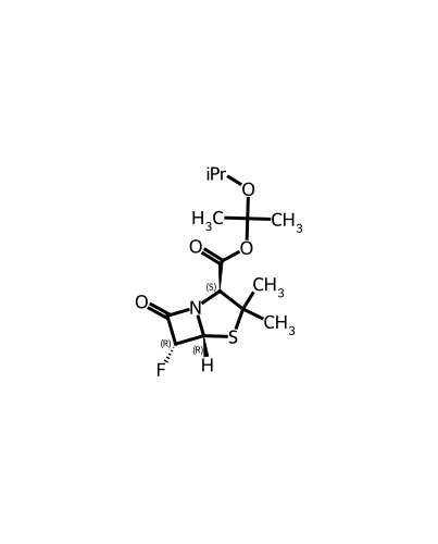 CC(C)OC(C)(C)OC(=O)[C@@H]1N2C(=O)[C@@H](F)[C@H]2SC1(C)C